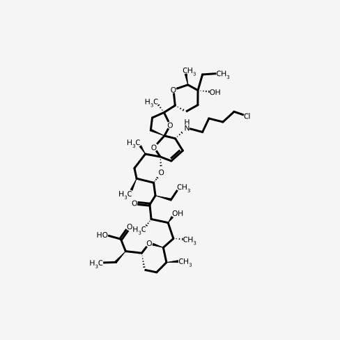 CC[C@@H](C(=O)[C@@H](C)[C@@H](O)[C@H](C)[C@@H]1O[C@@H]([C@@H](CC)C(=O)O)CC[C@@H]1C)[C@H]1O[C@]2(C=C[C@@H](NCCCCCl)[C@]3(CC[C@@](C)([C@H]4CC[C@](O)(CC)[C@H](C)O4)O3)O2)[C@H](C)C[C@@H]1C